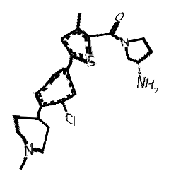 Cc1cc(-c2ccc(C3CCN(C)CC3)c(Cl)c2)sc1C(=O)N1CC[C@H](N)C1